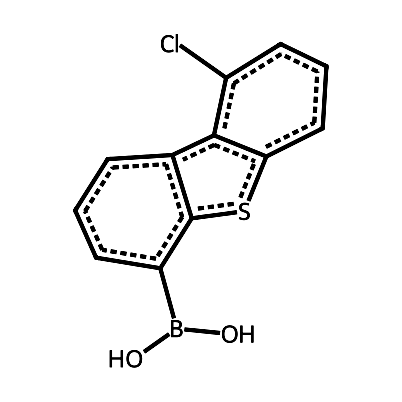 OB(O)c1cccc2c1sc1cccc(Cl)c12